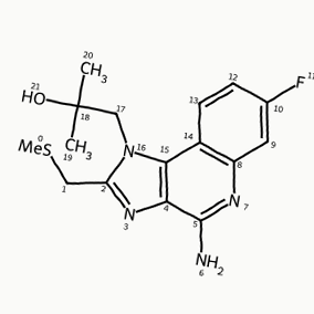 CSCc1nc2c(N)nc3cc(F)ccc3c2n1CC(C)(C)O